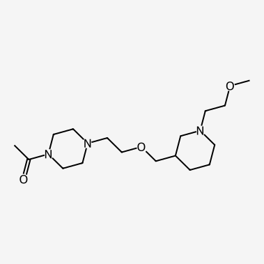 COCCN1CCCC(COCCN2CCN(C(C)=O)CC2)C1